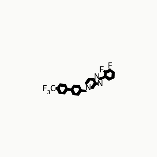 Fc1cccc(-c2nc3ccn(Cc4ccc(-c5ccc(C(F)(F)F)cc5)cc4)cc-3n2)c1F